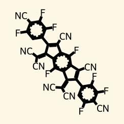 N#CC(C#N)=C1C(c2cc(F)c(C#N)c(F)c2F)=C(C#N)c2c(F)c3c(c(F)c21)C(=C(C#N)C#N)C(c1cc(F)c(C#N)c(F)c1F)=C3C#N